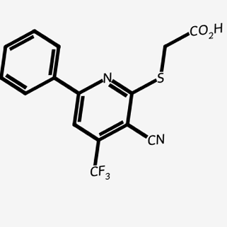 N#Cc1c(C(F)(F)F)cc(-c2ccccc2)nc1SCC(=O)O